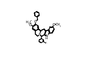 COc1ccc2[nH]c3c(c2c1)CC1c2cc(OCc4ccccc4)c(OC)cc2CCN1C3c1cccc(F)c1